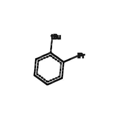 [CH2]C(C)c1ccccc1C(C)(C)C